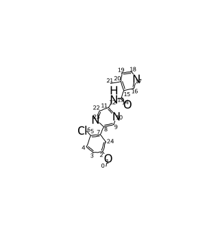 COc1ccc(Cl)c(-c2cnc(NC(=O)c3cnccc3C)cn2)c1